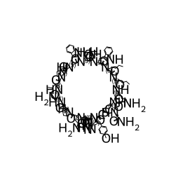 CCCC[C@H]1C(=O)N(C)[C@@H](CCCC)C(=O)N[C@@H](CCCN)C(=O)N[C@H](C(=O)NCC(N)=O)CSCC(=O)N2[C@@H](C(=O)N[C@@H](CC(N)=O)C(=O)N3CCC[C@H]3C(=O)N[C@@H](CN)C(=O)N[C@@H](CC(C)C)C(=O)N3CCC[C@H]3C(=O)N[C@@H](Cc3c[nH]c4ccccc34)C(=O)N[C@@H](CO)C(=O)N[C@@H](Cc3c[nH]c4ccccc34)C(=O)N1C)n1nnnc1[C@@H]2Cc1ccc(O)cc1